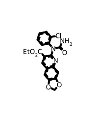 CCOC(=O)c1cc2cc3c(cc2nc1N(C(N)=O)c1ccccc1Cl)OCO3